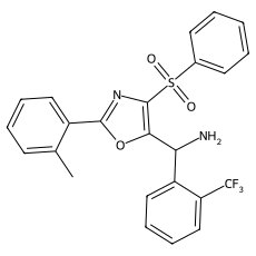 Cc1ccccc1-c1nc(S(=O)(=O)c2ccccc2)c(C(N)c2ccccc2C(F)(F)F)o1